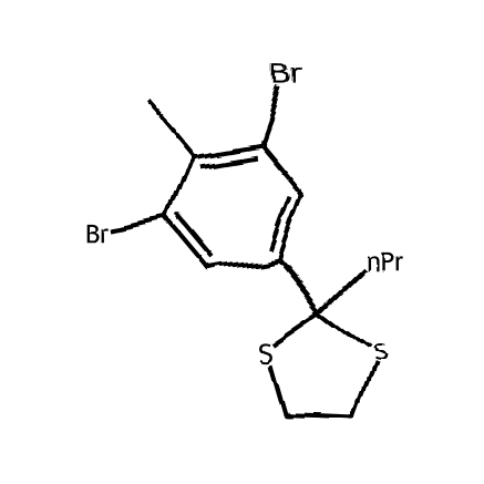 CCCC1(c2cc(Br)c(C)c(Br)c2)SCCS1